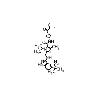 C=CC(=O)N1CC(NC(=O)c2c(C)nc(CNc3n[nH]c4ccc(C(C)(C)C)cc34)n2C(C)C)C1